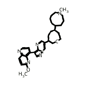 COc1ccc2nccc(-c3cnn4cc(C5CCCCC(C6CCCCN(C)CCC6)CC5)cnc34)c2n1